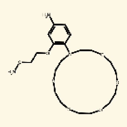 NOCCOc1cc(N)ccc1N1CCOCCOCCOCCOCCOCC1